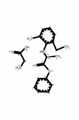 CCc1cccc(C)c1N[C@@H](C)C(=O)Oc1ccccc1.NCC(=O)O